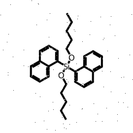 CCCCCO[Si](OCCCCC)(c1cccc2ccccc12)c1cccc2ccccc12